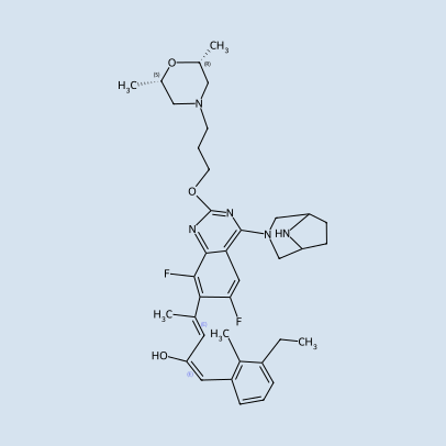 CCc1cccc(/C=C(O)\C=C(/C)c2c(F)cc3c(N4CC5CCC(C4)N5)nc(OCCCN4C[C@@H](C)O[C@@H](C)C4)nc3c2F)c1C